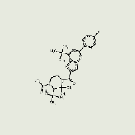 CC(C)(C)c1cc(-c2ccc(Cl)cc2)nn2cc(C(=O)N3CCN(C(=O)O)C(C(C)(C)C)C3(C)C)nc12